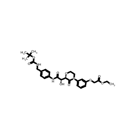 CCOC(=O)COc1cccc(N2CCO[C@H]([C@@H](O)C(=O)Nc3ccc(CNC(=O)OC(C)(C)C)cc3)C2=O)c1